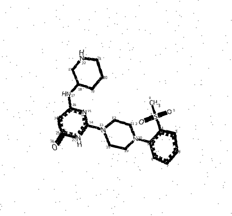 CS(=O)(=O)c1ccccc1N1CCN(c2nc(NC3CCCNC3)cc(=O)[nH]2)CC1